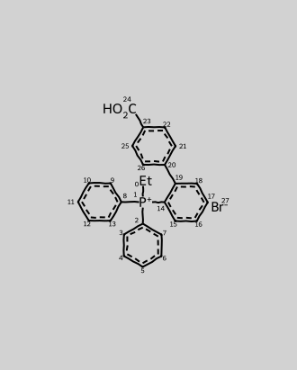 CC[P+](c1ccccc1)(c1ccccc1)c1ccccc1-c1ccc(C(=O)O)cc1.[Br-]